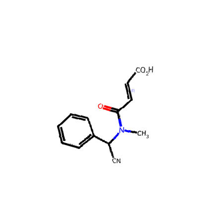 CN(C(=O)/C=C/C(=O)O)C(C#N)c1ccccc1